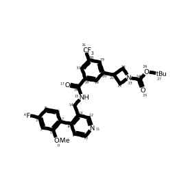 COc1cc(F)ccc1-c1ccncc1CNC(=O)c1cc(C2CN(C(=O)OC(C)(C)C)C2)cc(C(F)(F)F)c1